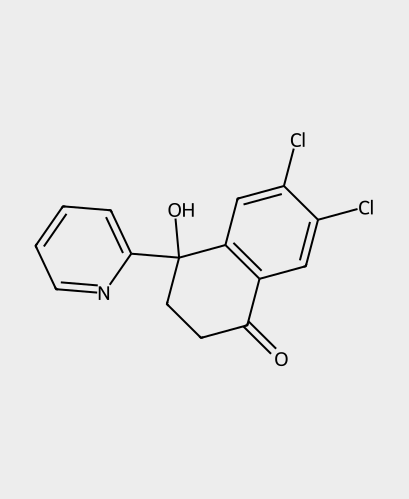 O=C1CCC(O)(c2ccccn2)c2cc(Cl)c(Cl)cc21